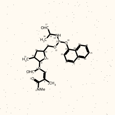 CNC(=O)/C(C)=C\N(C=O)C1OC(CO[P@@](NC(C)C=O)Oc2cccc3ccccc23)CC1C